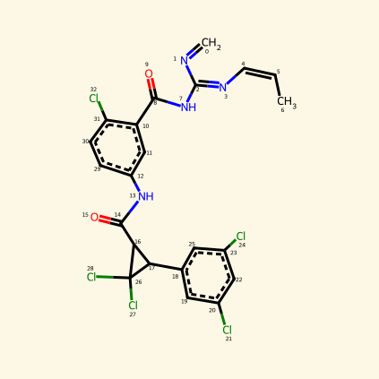 C=N/C(=N\C=C/C)NC(=O)c1cc(NC(=O)C2C(c3cc(Cl)cc(Cl)c3)C2(Cl)Cl)ccc1Cl